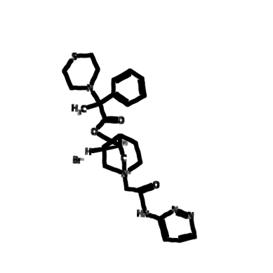 CC(C(=O)O[C@H]1C[N+]2(CC(=O)Nc3cccnn3)CCC1CC2)(c1ccccc1)N1CCSCC1.[Br-]